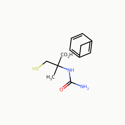 CC(CS)(NC(N)=O)C(=O)O.c1cc2cc(c1)C2